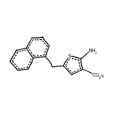 Nc1sc(Cc2cccc3ccccc23)cc1C(=O)O